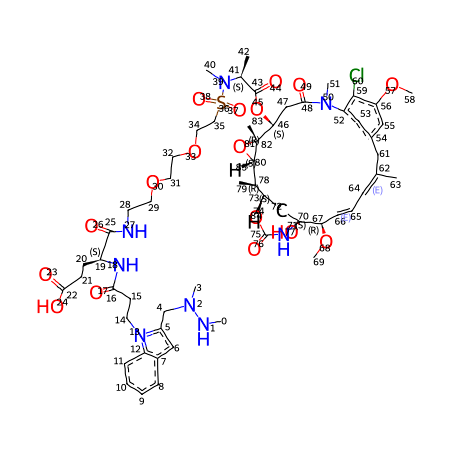 CNN(C)Cc1cc2ccccc2n1CCC(=O)N[C@@H](CCC(=O)O)C(=O)NCCOCCOCCS(=O)(=O)N(C)[C@@H](C)C(=O)O[C@H]1CC(=O)N(C)c2cc(cc(OC)c2Cl)C/C(C)=C/C=C/[C@@H](OC)[C@@]2(O)C[C@H](OC(=O)N2)[C@@H](C)[C@@H]2O[C@]12C